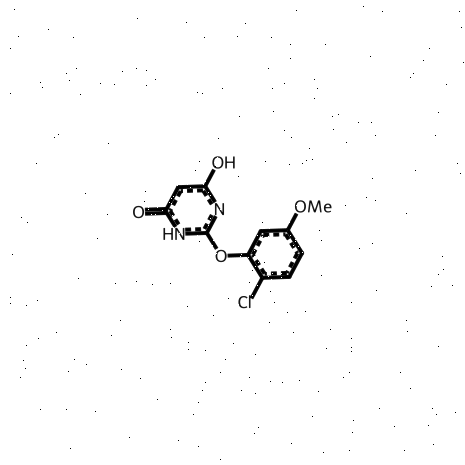 COc1ccc(Cl)c(Oc2nc(O)cc(=O)[nH]2)c1